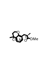 COC(=O)[C@H](C)Cc1cccc2c1OCCC2(C)C(=O)O